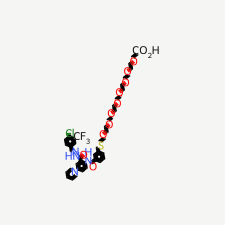 O=C(O)CCOCCOCCOCCOCCOCCOCCOCCOCCSCc1cccc(C(=O)Nc2ccc(N3CCCCC3)cc2C(=O)NN=Cc2ccc(Cl)c(C(F)(F)F)c2)c1